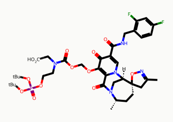 CC1=NO[C@@]2(CC[C@H](C)N3C[C@H]2n2cc(C(=O)NCc4ccc(F)cc4F)c(=O)c(OCOC(=O)N(CCOP(=O)(OC(C)(C)C)OC(C)(C)C)CC(=O)O)c2C3=O)C1